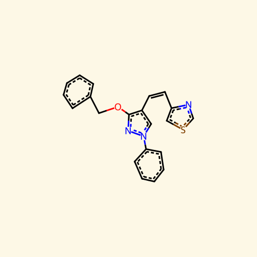 C(=C/c1cn(-c2ccccc2)nc1OCc1ccccc1)/c1cscn1